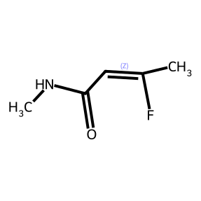 CNC(=O)/C=C(/C)F